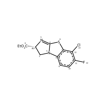 CCOC(=O)[C@H]1CN2C(=N1)Sc1c2ccc(F)c1Cl